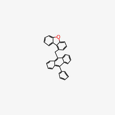 c1ccc(-c2c3ccccc3c(Cc3cccc4oc5ccccc5c34)c3ccccc23)cc1